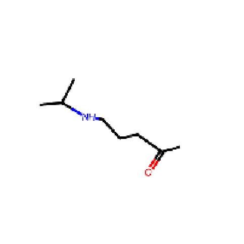 CC(=O)CCCNC(C)C